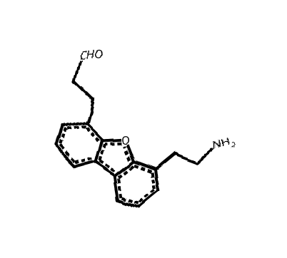 NCCc1cccc2c1oc1c(CCC=O)cccc12